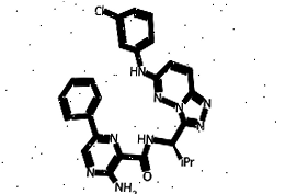 CC(C)[C@@H](NC(=O)c1nc(-c2ccccc2)cnc1N)c1nnc2ccc(Nc3cccc(Cl)c3)nn12